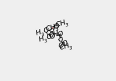 COCc1cc(C(=O)CCC(=O)c2ccc(C(=O)OC)cc2)c2c(c1)C(C)(C)CCC2(C)C